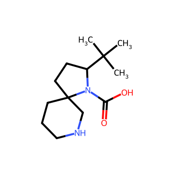 CC(C)(C)C1CCC2(CCCNC2)N1C(=O)O